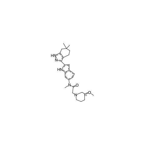 CO[C@H]1CCCN(CC(=O)N(C)c2ccc3cc(-c4n[nH]c5c4CCC(C)(C)C5)[nH]c3c2)C1